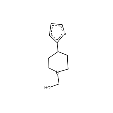 OCN1CCC(c2cccs2)CC1